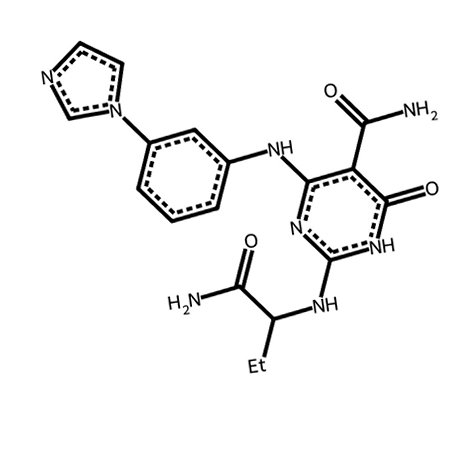 CCC(Nc1nc(Nc2cccc(-n3ccnc3)c2)c(C(N)=O)c(=O)[nH]1)C(N)=O